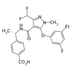 CCc1cc(F)cc(Oc2c(C(=O)N[C@@H](C)c3ccc(C(=O)O)cc3)c(C(F)F)nn2C)c1